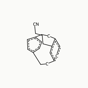 N#CCCCc1cc2ccc1CCc1ccc(cc1)CC2